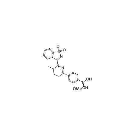 COc1cc(C2=NN(C3=NS(=O)(=O)c4ccccc43)C(C)CC2)ccc1B(O)O